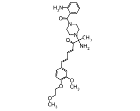 COCCOc1ccc(C=CC=CC(=O)C(C)(N)N2CCN(C(=O)c3ccccc3N)CC2)cc1OC